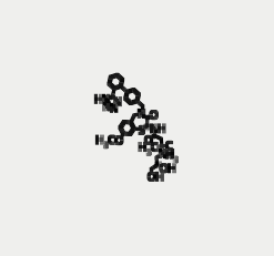 COc1ccc2c(c1)S[C@@H](NC(=O)CC(C)(C)NC[C@H](O)CO)C(=O)N(Cc1ccc(-c3ccccc3-c3nnn[nH]3)cc1)C2